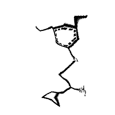 Cc1cc(C)cc(OCC(N)C2CC2)c1